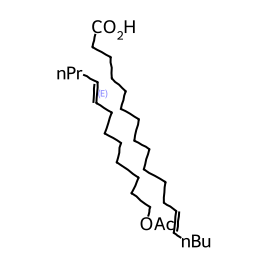 CCC/C=C/CCCCCCCOC(C)=O.CCCCC=CCCCCCCCCCCCC(=O)O